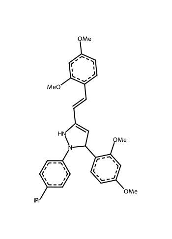 COc1ccc(C=CC2=CC(c3ccc(OC)cc3OC)N(c3ccc(C(C)C)cc3)N2)c(OC)c1